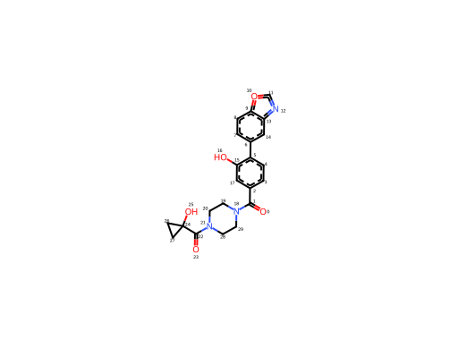 O=C(c1ccc(-c2ccc3ocnc3c2)c(O)c1)N1CCN(C(=O)C2(O)CC2)CC1